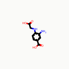 Nc1cc(C(=O)O)ccc1NCC(=O)O